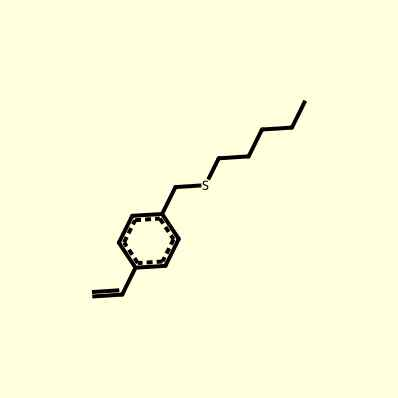 C=Cc1ccc(CSCCCCC)cc1